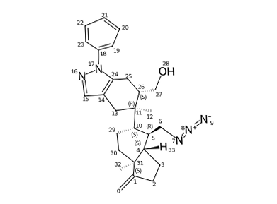 C=C1CC[C@H]2[C@H](CN=[N+]=[N-])[C@@H]([C@@]3(C)Cc4cnn(-c5ccccc5)c4C[C@@H]3CO)CC[C@]12C